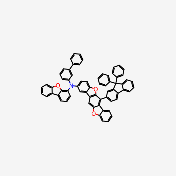 c1ccc(-c2cccc(N(c3ccc4oc5c(-c6ccc7c(c6)C(c6ccccc6)(c6ccccc6)c6ccccc6-7)c6c(cc5c4c3)oc3ccccc36)c3cccc4c3oc3ccccc34)c2)cc1